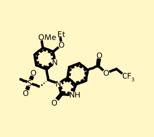 CCOc1nc([C@@H](CS(C)(=O)=O)n2c(=O)[nH]c3cc(C(=O)OCC(F)(F)F)ccc32)ccc1OC